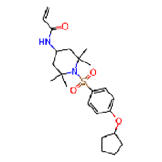 C=CC(=O)NC1CC(C)(C)N(S(=O)(=O)c2ccc(OC3CCCC3)cc2)C(C)(C)C1